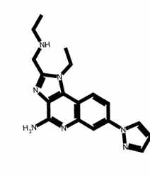 CCNCc1nc2c(N)nc3cc(-n4cccn4)ccc3c2n1CC